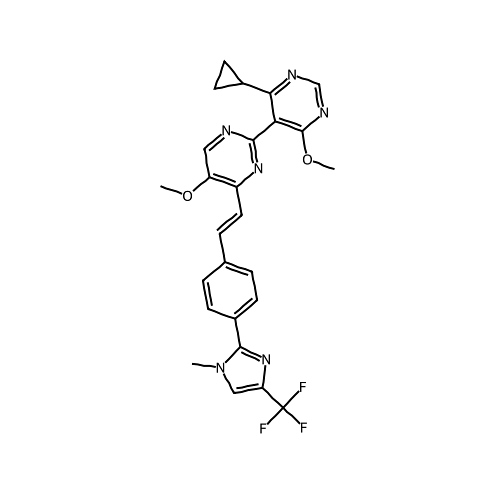 COc1cnc(-c2c(OC)ncnc2C2CC2)nc1/C=C/c1ccc(-c2nc(C(F)(F)F)cn2C)cc1